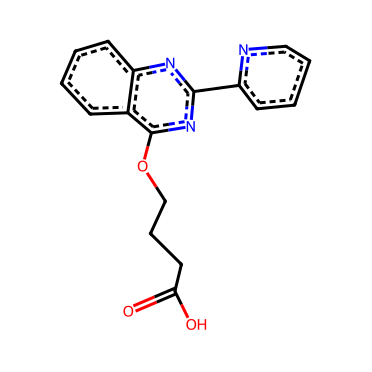 O=C(O)CCCOc1nc(-c2ccccn2)nc2ccccc12